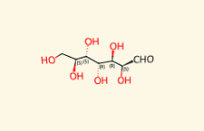 O=C[C@@H](O)[C@H](O)[C@H](O)[C@@H](O)[C@@H](O)CO